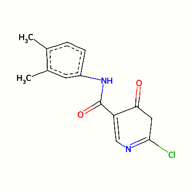 Cc1ccc(NC(=O)C2=CN=C(Cl)CC2=O)cc1C